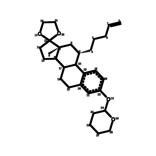 C=CCCC[C@H]1C[C@@]2(C)C(CCC23OCCO3)C2CCc3cc(OC4CCCCO4)ccc3C21